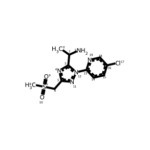 CC(N)c1nc(CS(C)(=O)=O)nn1-c1ccc(Cl)cn1